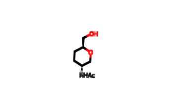 CC(=O)N[C@@H]1CC[C@@H](CO)OC1